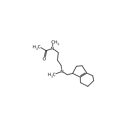 CC(=O)N(C)CCCN(C)CC1CCC2=C1CCCC2